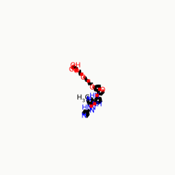 CN1CCC(Nc2cccc(N[C@@H]3CCOc4ccc(OCCCCCOCCCOCC(=O)O)cc43)c2)(c2nnc(-c3ccncc3)[nH]2)CC1